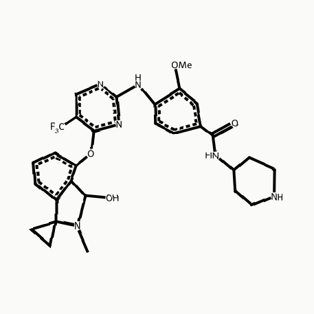 COc1cc(C(=O)NC2CCNCC2)ccc1Nc1ncc(C(F)(F)F)c(Oc2cccc3c2C(O)N(C)C32CC2)n1